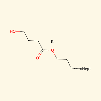 CCCCCCCCCCOC(=O)CCCO.[K]